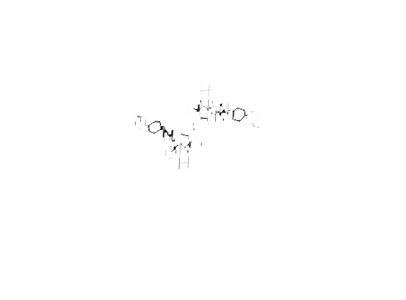 CCOc1ccc(N=NC2C(=O)NC(=O)C(CCC3=C(C)C(N=Nc4ccc(OCC)cc4)C(=O)NC3=O)=C2C)cc1